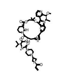 C=CC(=O)N1CC(N2CCN(C(=O)N(C)[C@H](C(=O)N[C@H]3Cc4nc(cs4)-c4ccc5c(c4)c(c(-c4cccnc4[C@H](C)OC)n5CC)CC(C)(C)COC(=O)[C@@H]4CCCN(N4)C3=O)C(C)C)CC2)C1